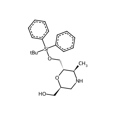 C[C@H]1NC[C@@H](CO)O[C@@H]1CO[Si](c1ccccc1)(c1ccccc1)C(C)(C)C